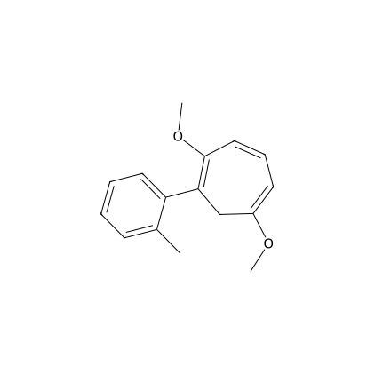 COC1=CC=CC(OC)=C(c2ccccc2C)C1